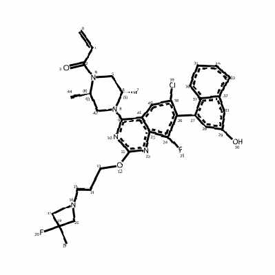 C=CC(=O)N1C[C@H](C)N(c2nc(OCCCN3CC(C)(F)C3)nc3c(F)c(-c4cc(O)cc5ccccc45)c(Cl)cc23)C[C@H]1C